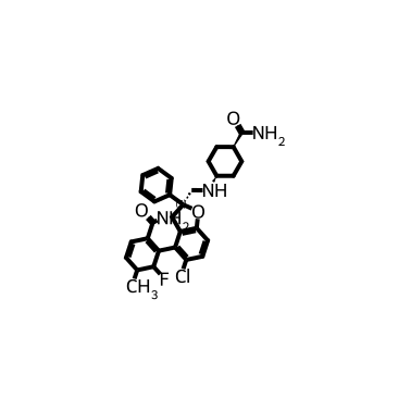 CC1C=CC(C(N)=O)=C(c2c(Cl)ccc3c2C[C@@](CN[C@H]2CC[C@H](C(N)=O)CC2)(c2ccccc2)O3)C1F